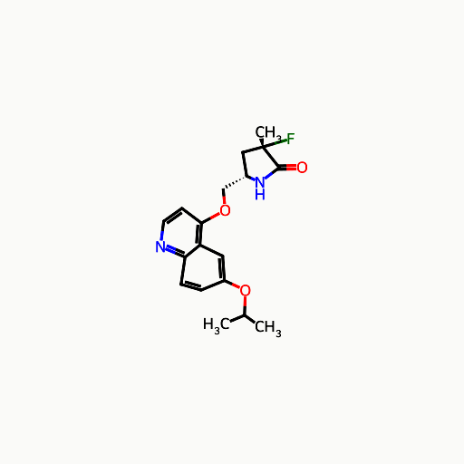 CC(C)Oc1ccc2nccc(OC[C@@H]3C[C@](C)(F)C(=O)N3)c2c1